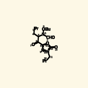 CC(C)CON(C=O)C(CC(C)C)C(=O)c1nn(CC(C)C)c(=O)o1